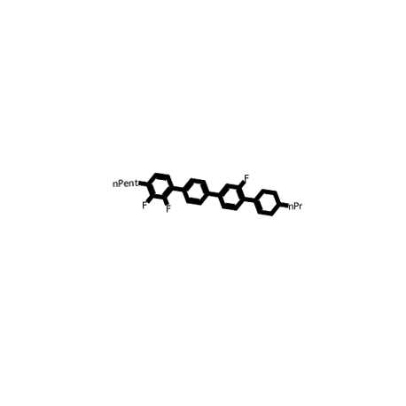 CCCCCc1ccc(-c2ccc(-c3ccc(C4=CCC(CCC)CC4)c(F)c3)cc2)c(F)c1F